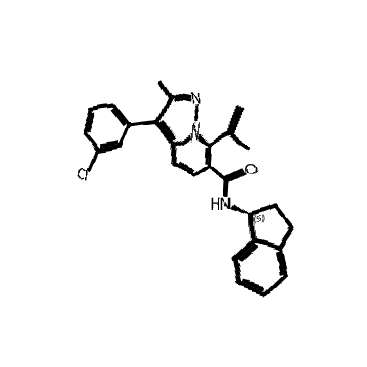 C=C(C)c1c(C(=O)N[C@H]2CCc3ccccc32)ccc2c(-c3cccc(Cl)c3)c(C)nn12